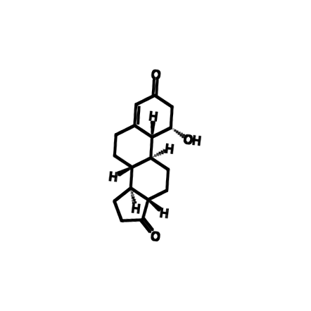 O=C1C=C2CC[C@@H]3[C@H](CC[C@@H]4C(=O)CC[C@@H]34)[C@H]2[C@@H](O)C1